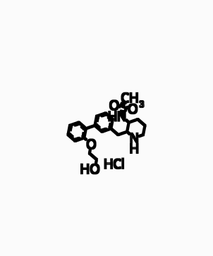 CS(=O)(=O)NC1CCCNC1Cc1cccc(-c2ccccc2OCCO)c1.Cl